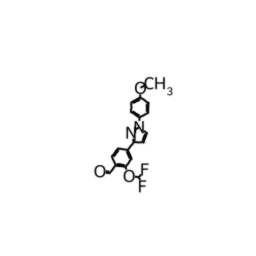 COc1ccc(-n2ccc(-c3ccc(C=O)c(OC(F)F)c3)n2)cc1